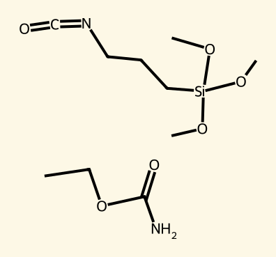 CCOC(N)=O.CO[Si](CCCN=C=O)(OC)OC